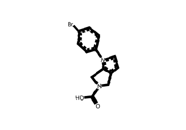 O=C(O)N1Cc2ccn(-c3ccc(Br)cc3)c2C1